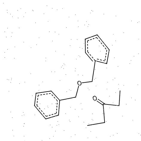 CCC(=O)CC.c1ccc(COCc2ccccc2)cc1